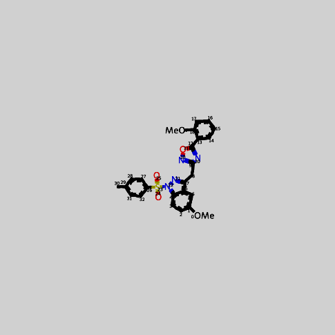 COc1ccc2c(c1)c(Cc1noc(-c3ccccc3OC)n1)nn2S(=O)(=O)c1ccc(C)cc1